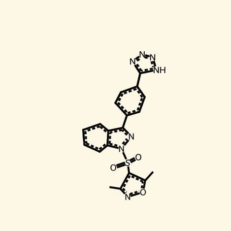 Cc1noc(C)c1S(=O)(=O)n1nc(-c2ccc(-c3nnn[nH]3)cc2)c2ccccc21